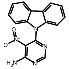 Nc1ncnc(-n2c3ccccc3c3ccccc32)c1[N+](=O)[O-]